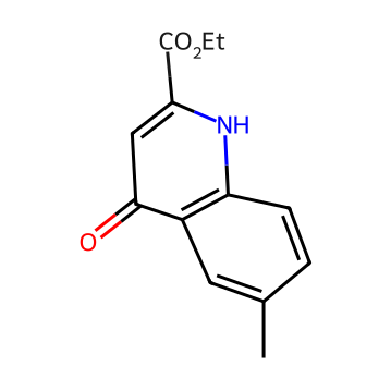 CCOC(=O)c1cc(=O)c2cc(C)ccc2[nH]1